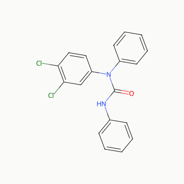 O=C(Nc1ccccc1)N(c1ccccc1)c1ccc(Cl)c(Cl)c1